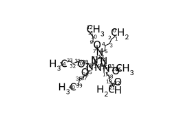 C=CCCCCN(COCCCC)c1nc(N(CCCC(=C)O)COC)nc(N(COCCCC)COCCCC)n1